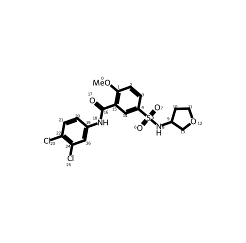 COc1ccc(S(=O)(=O)NC2CCOC2)cc1C(=O)Nc1ccc(Cl)c(Cl)c1